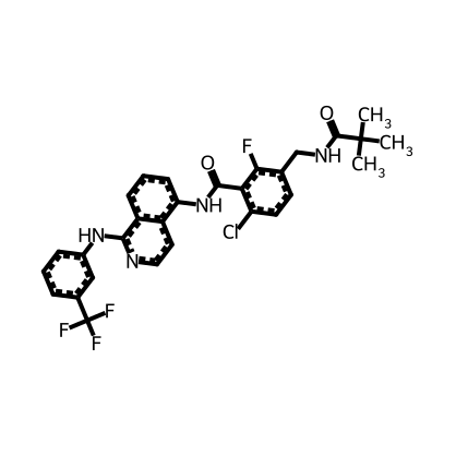 CC(C)(C)C(=O)NCc1ccc(Cl)c(C(=O)Nc2cccc3c(Nc4cccc(C(F)(F)F)c4)nccc23)c1F